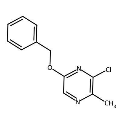 Cc1ncc(OCc2ccccc2)nc1Cl